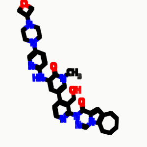 Cn1cc(-c2ccnc(-n3ncn4c5c(cc4c3=O)CCCCC5)c2CO)cc(Nc2ccc(N3CCN(C4COC4)CC3)cn2)c1=O